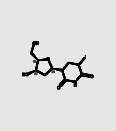 O=C1NC(=O)N([C@H]2C[C@@H](O)[C@@H](CO)O2)CC1I